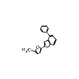 Cc1ccc(C2=Cc3c(cccc3-c3ccccc3)C2)o1